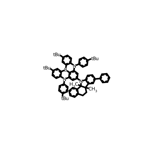 CC(C)(C)c1ccc(N2c3ccc(C(C)(C)C)cc3B3c4cc(C(C)(C)C)ccc4N(c4ccc(C(C)(C)C)cc4)c4cc(N5c6ccc(-c7ccccc7)cc6C6(C)CCc7ccccc7C56C)cc2c43)cc1